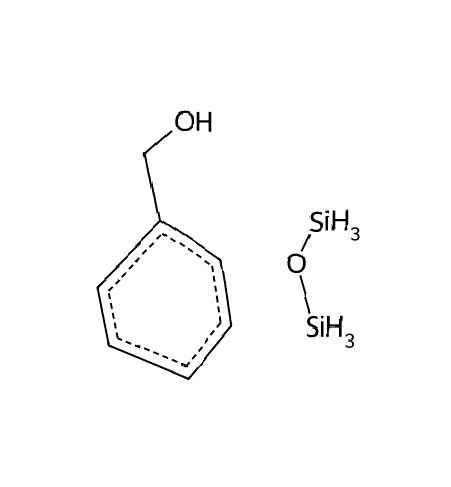 OCc1ccccc1.[SiH3]O[SiH3]